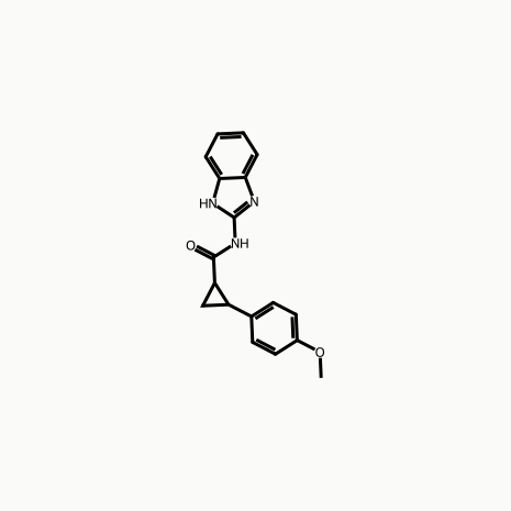 COc1ccc(C2CC2C(=O)Nc2nc3ccccc3[nH]2)cc1